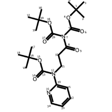 CC(C)(C)OC(=O)N(C(=O)CCN(C(=O)OC(C)(C)C)c1ccccn1)C(=O)OC(C)(C)C